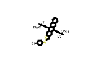 CCc1ccc(Sc2cc3cc4c(C#C[C@@](C)(CC)OC)c5cc6ccccc6cc5c(C#C[C@](C)(CC)OC)c4cc3s2)cc1